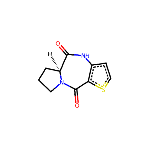 O=C1Nc2ccsc2C(=O)N2CCC[C@@H]12